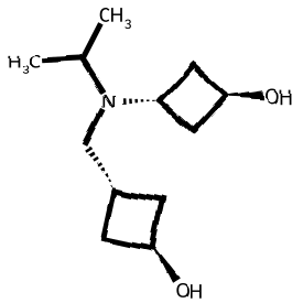 CC(C)N(C[C@H]1C[C@H](O)C1)[C@H]1C[C@H](O)C1